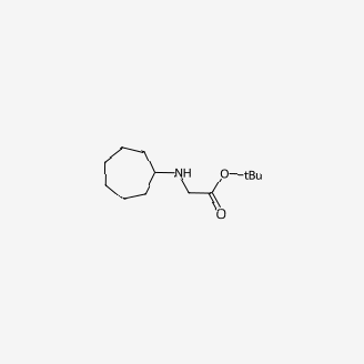 CC(C)(C)OC(=O)CNC1CCCCCC1